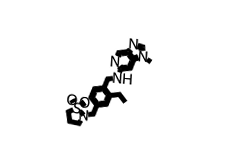 CCc1cc(CN2CCCS2(=O)=O)ccc1CNc1cc2c(cn1)ncn2C